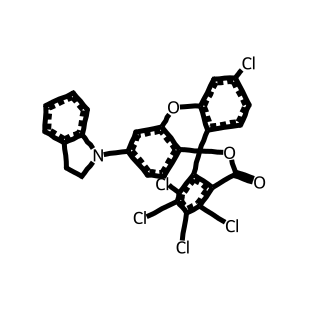 O=C1OC2(c3ccc(Cl)cc3Oc3cc(N4CCc5ccccc54)ccc32)c2c(Cl)c(Cl)c(Cl)c(Cl)c21